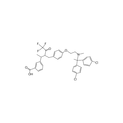 CC(c1cccc(C(=O)O)c1)C(Cc1ccc(OCCN(C)C(C)(c2ccc(Cl)cc2)c2ccc(Cl)cc2)cc1)C(=O)C(F)(F)F